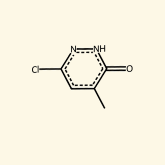 Cc1cc(Cl)n[nH]c1=O